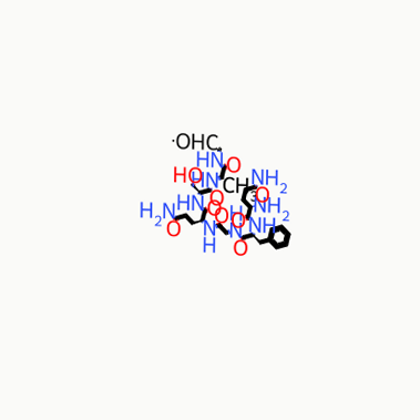 C[C@H](NC(=O)[C@H](CO)NC(=O)[C@H](CCC(N)=O)NC(=O)CNC(=O)[C@H](Cc1ccccc1)NC(=O)[C@@H](N)CCC(N)=O)C(=O)NC[C]=O